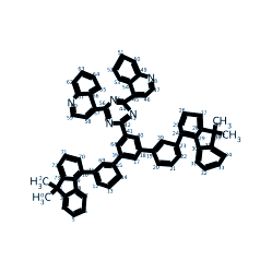 CC1(C)c2ccccc2-c2c(-c3cccc(-c4cc(-c5cccc(-c6cccc7c6-c6ccccc6C7(C)C)c5)cc(-c5nc(-c6ccnc7ccccc67)nc(-c6ccnc7ccccc67)n5)c4)c3)cccc21